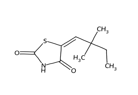 CCC(C)(C)/C=C1/SC(=O)NC1=O